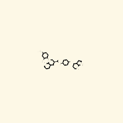 O=C(Nc1ccc(Oc2ccnc3[nH]ccc23)cc1)c1cn(-c2ccc(Br)cc2F)c2ncccc2c1=O